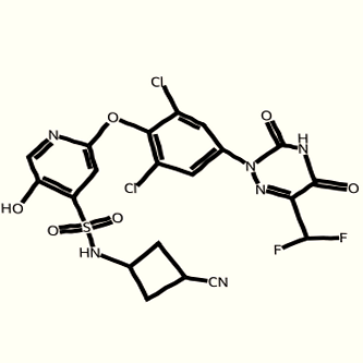 N#CC1CC(NS(=O)(=O)c2cc(Oc3c(Cl)cc(-n4nc(C(F)F)c(=O)[nH]c4=O)cc3Cl)ncc2O)C1